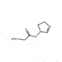 CCCCCCC(=O)ON1C=NCC1